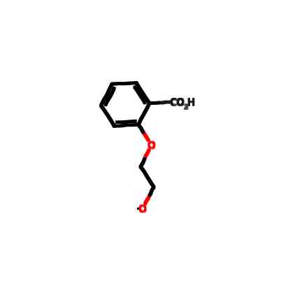 [O]CCOc1ccccc1C(=O)O